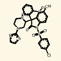 CCOc1ccccc1C1(C2CN(c3nccs3)CCN2C(=O)O)C(=O)N(S(=O)(=O)c2ccc(Cl)cc2)c2ccc(C#N)cc21